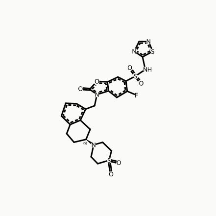 O=c1oc2cc(S(=O)(=O)Nc3ncns3)c(F)cc2n1Cc1cccc2c1C[C@@H](N1CCS(=O)(=O)CC1)CC2